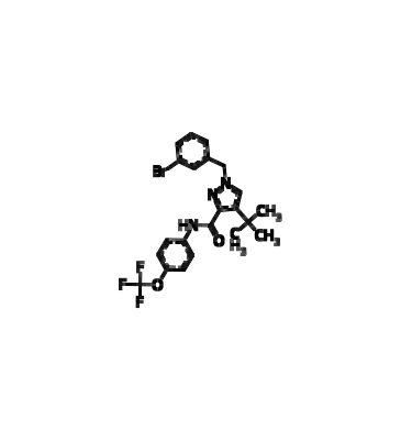 CC(C)(C)c1cn(Cc2cccc(Br)c2)nc1C(=O)Nc1ccc(OC(F)(F)F)cc1